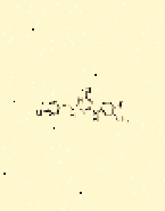 Cc1cc(Nc2cc(Cl)nc(NCc3ccc(Cl)nc3)n2)ccc1F